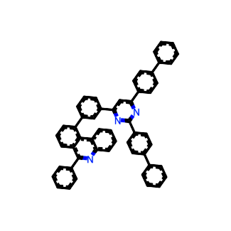 c1ccc(-c2ccc(-c3cc(-c4cccc(-c5cccc6c(-c7ccccc7)nc7ccccc7c56)c4)nc(-c4ccc(-c5ccccc5)cc4)n3)cc2)cc1